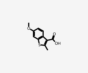 COc1ccc2c(C(=O)O)c(C)sc2c1